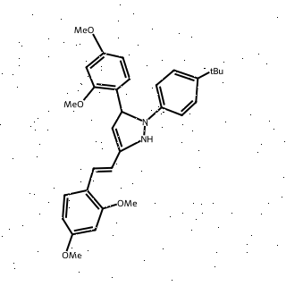 COc1ccc(C=CC2=CC(c3ccc(OC)cc3OC)N(c3ccc(C(C)(C)C)cc3)N2)c(OC)c1